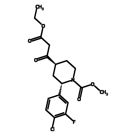 CCOC(=O)CC(=O)[C@H]1CCN(C(=O)OC)[C@H](c2ccc(Cl)c(F)c2)C1